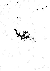 CCCC(C)(C)c1cnn2c(N)ncnc12